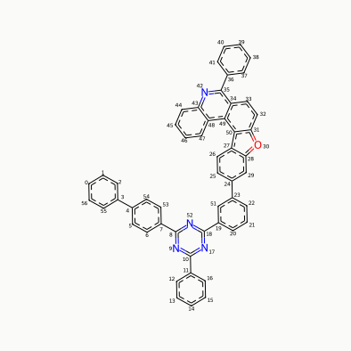 c1ccc(-c2ccc(-c3nc(-c4ccccc4)nc(-c4cccc(-c5ccc6c(c5)oc5ccc7c(-c8ccccc8)nc8ccccc8c7c56)c4)n3)cc2)cc1